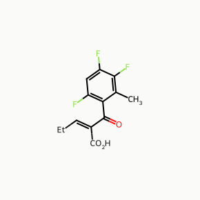 CCC=C(C(=O)O)C(=O)c1c(F)cc(F)c(F)c1C